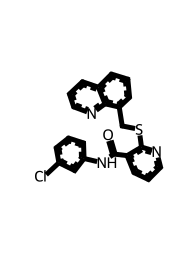 O=C(Nc1cccc(Cl)c1)c1cccnc1SCc1cccc2cccnc12